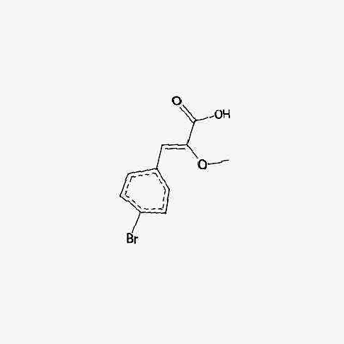 COC(=Cc1ccc(Br)cc1)C(=O)O